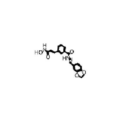 O=C(/C=C/c1cccc(C(=O)N/N=C/c2ccc3c(c2)OCCO3)c1)NO